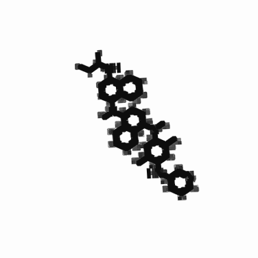 CCC(C)Nc1ccc(N(C)c2ccc(N(C)c3cc(C)c(Nc4cccnc4)cc3C)c3ccccc23)c2ccccc12